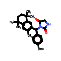 COc1ccc(C(c2cc3c(cc2C)C(C)(C)CCC3(C)C)N2C(=O)CNC2=O)cc1